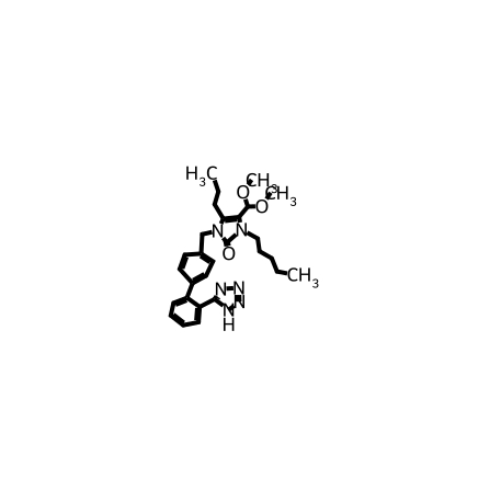 CCCCCn1c(C(OC)OC)c(CCC)n(Cc2ccc(-c3ccccc3-c3nnn[nH]3)cc2)c1=O